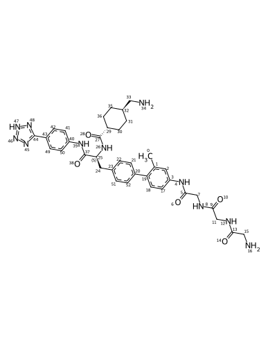 Cc1cc(NC(=O)CNC(=O)CNC(=O)CN)ccc1-c1ccc(C[C@H](NC(=O)[C@H]2CC[C@H](CN)CC2)C(=O)Nc2ccc(-c3nn[nH]n3)cc2)cc1